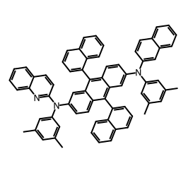 Cc1cc(C)cc(N(c2ccc3ccccc3c2)c2ccc3c(-c4cccc5ccccc45)c4cc(N(c5cc(C)cc(C)c5)c5ccc6ccccc6n5)ccc4c(-c4cccc5ccccc45)c3c2)c1